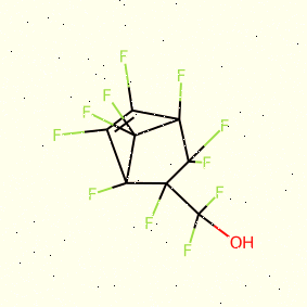 OC(F)(F)C1(F)C(F)(F)C2(F)C(F)=C(F)C1(F)C2(F)F